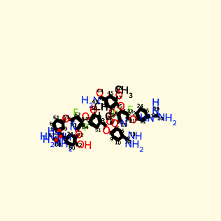 COc1cc(C(=O)Oc2ccc(C(=N)N)cc2Oc2nc(Oc3cccc(NC(=N)N)c3)c(F)c(Oc3c(OC)cc(C(N)=O)cc3OC)c2F)ccc1Oc1c(F)c(Oc2cccc(NC(=N)N)c2)nc(Oc2cc(C(=N)N)ccc2O)c1F